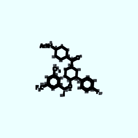 CC(=O)NC1CCC(C(=O)N2CC[C@H](O[C@H](C)c3cc(C(F)(F)F)cc(C(F)(F)F)c3)[C@H](c3ccc(F)cc3)C2)CC1